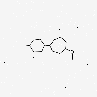 COC1CCCC(C2CCC(C)CC2)CC1